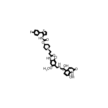 COc1cc(NC(=O)CCN2CCC(OC(=O)Nc3ccsc3-c3ccc(F)cc3)CC2)c(Cl)cc1CNC[C@H](O)c1ccc(O)c2[nH]c(=O)ccc12